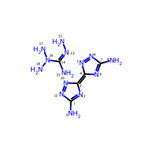 NC1=NC(=C2N=NC(N)=N2)N=N1.NN=C(N)N(N)N